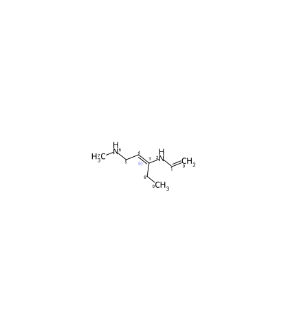 C=CN/C(=C/CNC)CC